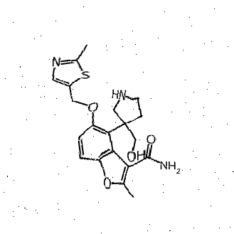 Cc1ncc(COc2ccc3oc(C)c(C(N)=O)c3c2C2(CO)CCNC2)s1